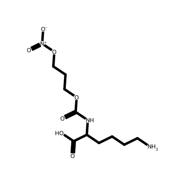 NCCCCC(NC(=O)OCCCO[N+](=O)[O-])C(=O)O